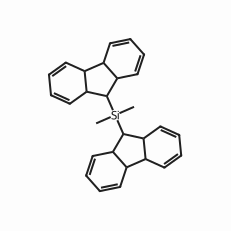 C[Si](C)(C1C2C=CC=CC2C2C=CC=CC21)C1C2C=CC=CC2C2C=CC=CC21